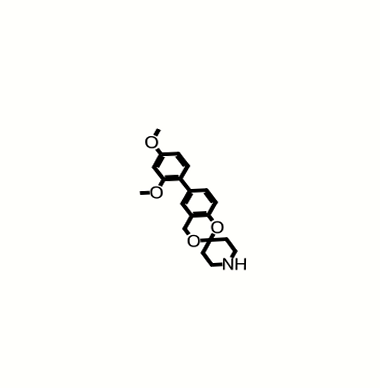 COc1ccc(-c2ccc3c(c2)COC2(CCNCC2)O3)c(OC)c1